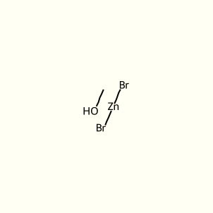 CO.[Br][Zn][Br]